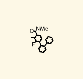 CNC(=O)c1ccc(-c2ccccc2-c2ccccc2)c(F)c1C